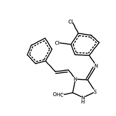 O=CC1NSC(=Nc2ccc(Cl)c(Cl)c2)N1C=Cc1ccccc1